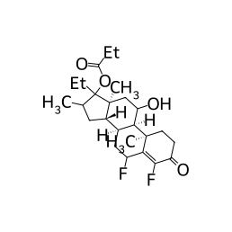 CCC(=O)OC1(CC)C(C)C[C@H]2[C@@H]3CC(F)C4=C(F)C(=O)CC[C@]4(C)[C@@H]3C(O)C[C@@]21C